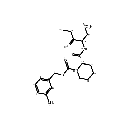 Cc1cccc(COC(=O)N2CCCC[C@H]2C(=O)NC(CC(=O)O)C(=O)CF)c1